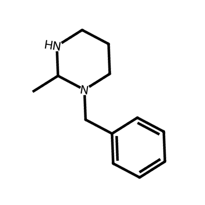 CC1NCCCN1Cc1ccccc1